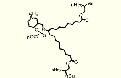 CCCCCCCCS(=O)(=O)N(CC1CCCN(C)C1)C(CCCCCCCCC(=O)OCC(CCCC)CCCCCC)CCCCCCCCC(=O)OCC(CCCC)CCCCCC